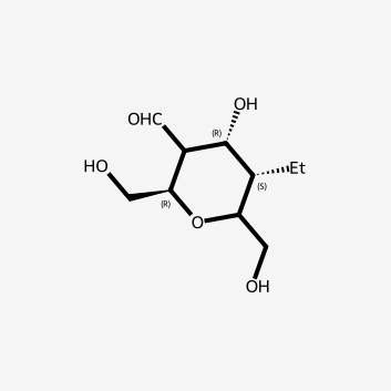 CC[C@@H]1C(CO)O[C@@H](CO)C(C=O)[C@@H]1O